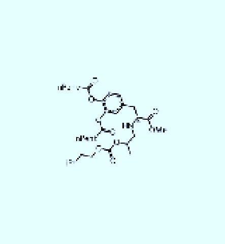 CCCCCC(=O)Oc1ccc(C[C@H](NCC(C)OC(=O)OCCC(C)C)C(=O)OC)cc1OC(=O)CCCCC